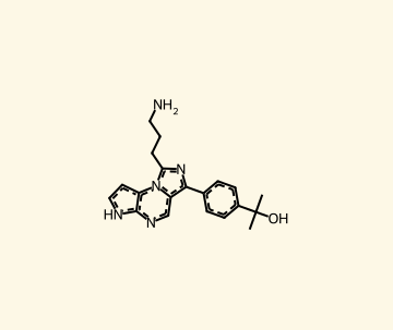 CC(C)(O)c1ccc(-c2nc(CCCN)n3c2cnc2[nH]ccc23)cc1